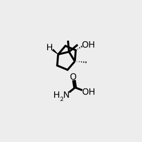 CC1(C)[C@@H]2CC[C@]1(C)[C@@H](O)C2.NC(=O)O